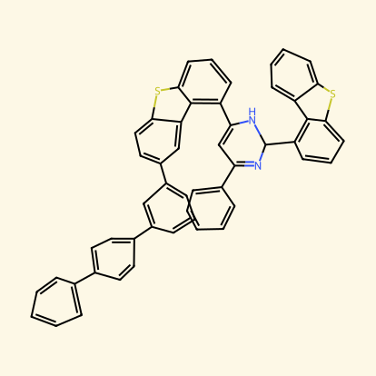 C1=C(c2cccc3sc4ccc(-c5cccc(-c6ccc(-c7ccccc7)cc6)c5)cc4c23)NC(c2cccc3sc4ccccc4c23)N=C1c1ccccc1